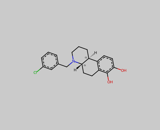 Oc1ccc2c(c1O)CC[C@H]1[C@H]2CCCN1Cc1cccc(Cl)c1